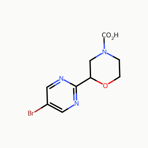 O=C(O)N1CCOC(c2ncc(Br)cn2)C1